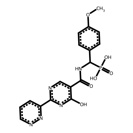 COc1ccc(C(NC(=O)c2cnc(-c3cccnn3)nc2O)P(=O)(O)O)cc1